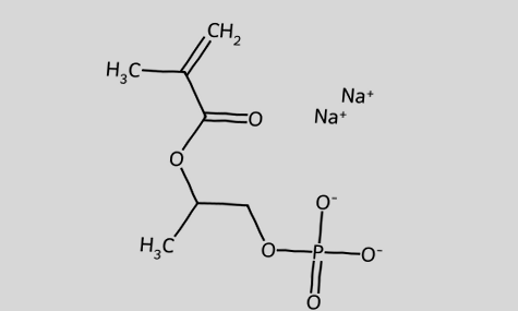 C=C(C)C(=O)OC(C)COP(=O)([O-])[O-].[Na+].[Na+]